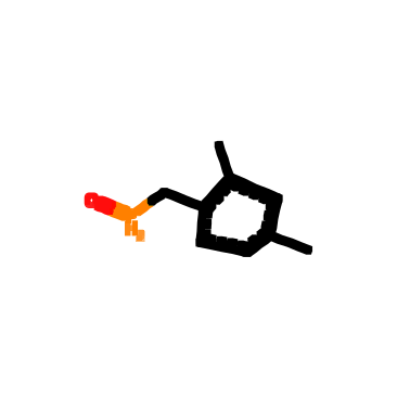 Cc1ccc(C[PH2]=O)c(C)c1